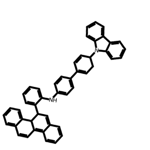 C1=CC(n2c3ccccc3c3ccccc32)CC=C1c1ccc(Nc2ccccc2C2C=c3ccccc3=C3C=Cc4ccccc4C32)cc1